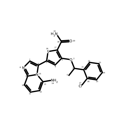 CC(Oc1cc(-c2cnc3cccc(N)n23)sc1C(N)=O)c1ccccc1Cl